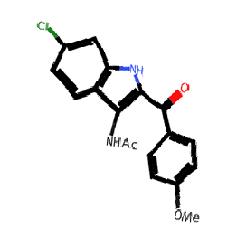 COc1ccc(C(=O)c2[nH]c3cc(Cl)ccc3c2NC(C)=O)cc1